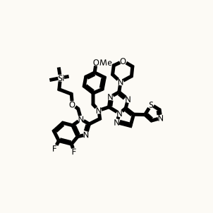 COc1ccc(CN(Cc2nc3c(F)c(F)ccc3n2COCC[Si](C)(C)C)c2nc(N3CCOCC3)nc3c(-c4cncs4)cnn23)cc1